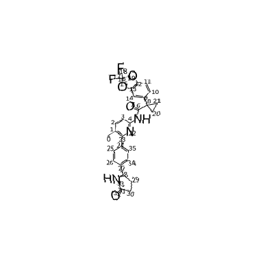 Cc1ccc(NC(=O)C2(c3ccc4c(c3)OC(F)(F)O4)CC2)nc1-c1ccc(C2CCC(=O)N2)cc1